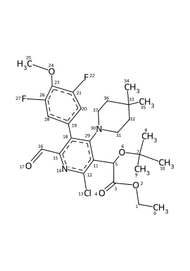 CCOC(=O)C(OC(C)(C)C)c1c(Cl)nc(C=O)c(-c2cc(F)c(OC)c(F)c2)c1N1CCC(C)(C)CC1